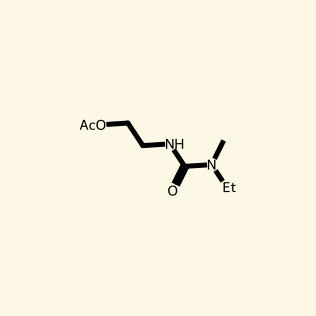 CCN(C)C(=O)NCCOC(C)=O